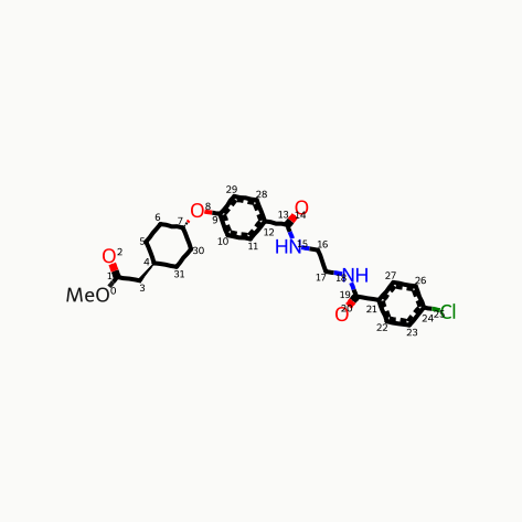 COC(=O)C[C@H]1CC[C@H](Oc2ccc(C(=O)NCCNC(=O)c3ccc(Cl)cc3)cc2)CC1